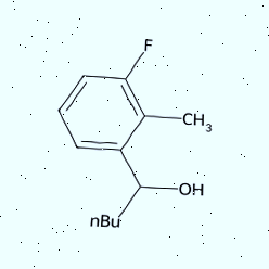 CCCCC(O)c1cccc(F)c1C